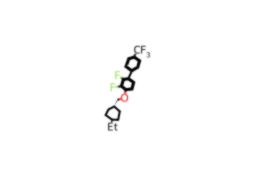 CC[C@H]1CC[C@H](COc2ccc(-c3ccc(C(F)(F)F)cc3)c(F)c2F)CC1